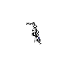 COc1ccc(CNC(=O)c2cncc3cc(/C=C4/SC(=S)NC4=O)oc23)cc1